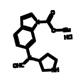 CC(C)(C)OC(=O)n1ccc2ccc(N(C=O)C3CCNC3)cc21.Cl